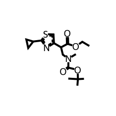 CCOC(=O)C(CN(C)C(=O)OC(C)(C)C)c1csc(C2CC2)n1